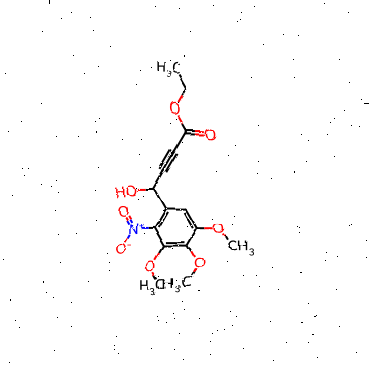 CCOC(=O)C#CC(O)c1cc(OC)c(OC)c(OC)c1[N+](=O)[O-]